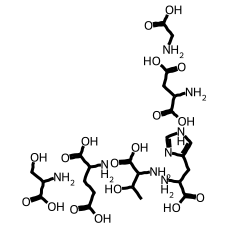 CC(O)C(N)C(=O)O.NC(CC(=O)O)C(=O)O.NC(CCC(=O)O)C(=O)O.NC(CO)C(=O)O.NC(Cc1c[nH]cn1)C(=O)O.NCC(=O)O